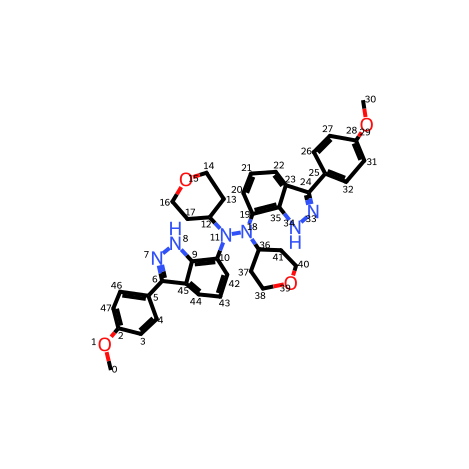 COc1ccc(-c2n[nH]c3c(N(C4CCOCC4)N(c4cccc5c(-c6ccc(OC)cc6)n[nH]c45)C4CCOCC4)cccc23)cc1